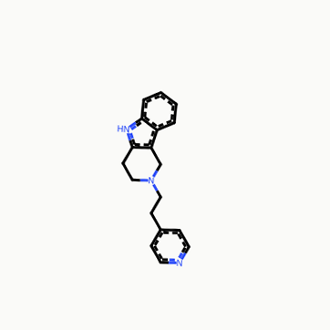 c1ccc2c3c([nH]c2c1)CCN(CCc1ccncc1)C3